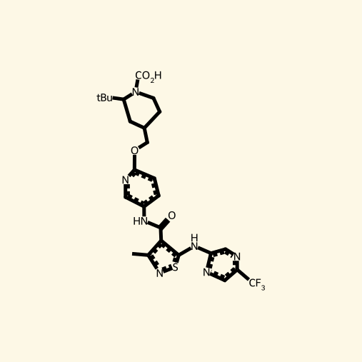 Cc1nsc(Nc2cnc(C(F)(F)F)cn2)c1C(=O)Nc1ccc(OCC2CCN(C(=O)O)C(C(C)(C)C)C2)nc1